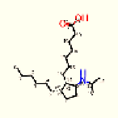 CCCCCC[C@H]1CCC(NC(C)C)[C@@H]1CCCCCCC(=O)O